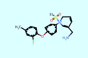 CCS(=O)(=O)[N+]1(c2ccc(Oc3ccc(C)cc3F)cc2)C=C(CN)C=CC1